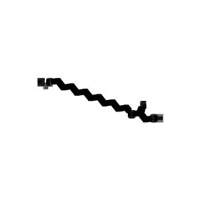 CCCCCCCCCCCCOC(=S)CO